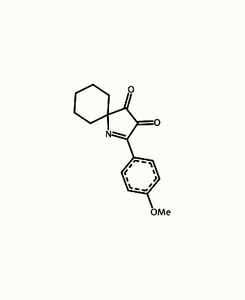 COc1ccc(C2=NC3(CCCCC3)C(=O)C2=O)cc1